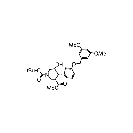 COC(=O)[C@H]1CN(C(=O)OC(C)(C)C)C[C@@H](O)[C@@H]1c1cccc(OCc2cc(OC)cc(OC)c2)c1